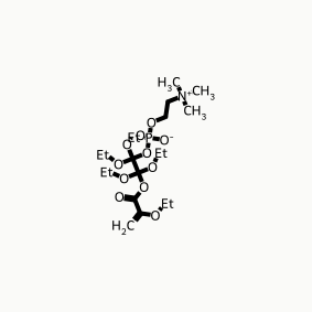 C=C(OCC)C(=O)OC(OCC)(OCC)C(OCC)(OCC)OP(=O)([O-])OCC[N+](C)(C)C